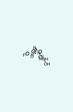 OCCNc1nccc(-c2cccc(-c3cnc4ccc(N5CCC[C@@H]5c5cccc(F)c5)nn34)n2)n1